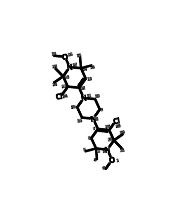 CON1C(C)(C)CC(N2CCN(C3=CC(C)(C)N(OC)C(C)(C)C3Cl)CC2)=C(Cl)C1(C)C